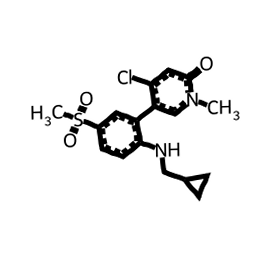 Cn1cc(-c2cc(S(C)(=O)=O)ccc2NCC2CC2)c(Cl)cc1=O